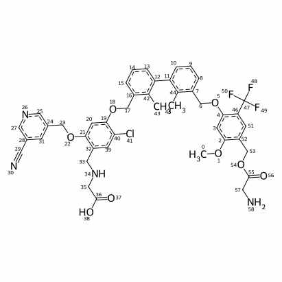 COc1cc(OCc2cccc(-c3cccc(COc4cc(OCc5cncc(C#N)c5)c(CNCC(=O)O)cc4Cl)c3C)c2C)c(C(F)(F)F)cc1COC(=O)CN